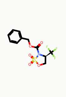 O=C(OCc1ccccc1)N1[C@@H](C(F)(F)F)COS1(=O)=O